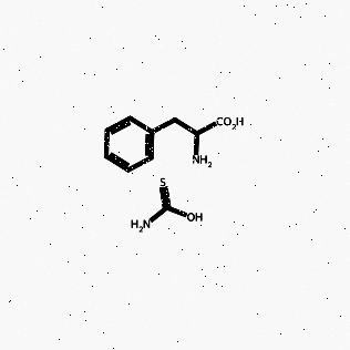 NC(Cc1ccccc1)C(=O)O.NC(O)=S